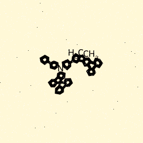 CC1(C)c2ccc(-c3ccc(N(c4ccc(-c5ccccc5)cc4)c4ccc5c(c4)-c4ccccc4C54c5ccccc5-c5ccccc54)cc3)cc2-c2cc3c4ccccc4c4ccccc4c3cc21